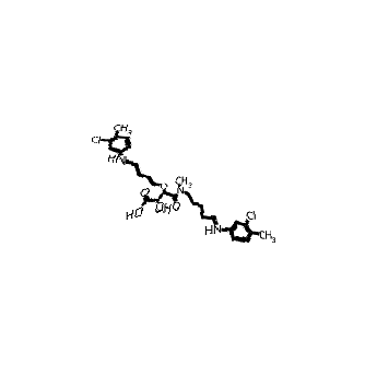 Cc1ccc(NCCCCCN(C)C(=O)C(OCCCCNc2ccc(C)c(Cl)c2)C(O)C(=O)O)cc1Cl